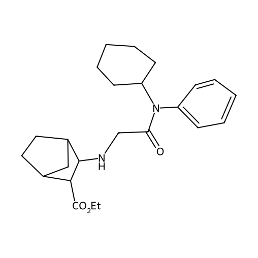 CCOC(=O)C1C2CCC(C2)C1NCC(=O)N(c1ccccc1)C1CCCCC1